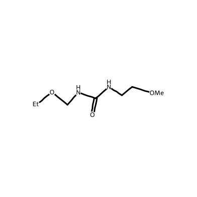 CCOCNC(=O)NCCOC